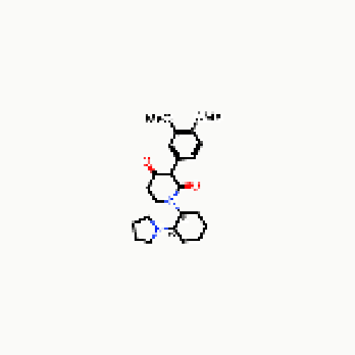 COc1ccc(C2C(=O)CCN([C@@H]3CCCC[C@H]3N3CCCC3)C2=O)cc1OC